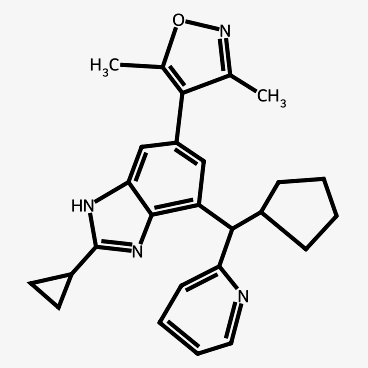 Cc1noc(C)c1-c1cc(C(c2ccccn2)C2CCCC2)c2nc(C3CC3)[nH]c2c1